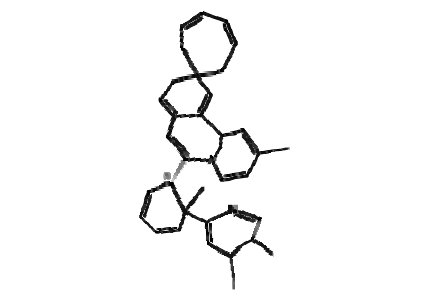 CC1=CC2C3=CC4(CC=CC=CC4)CC=C3C=C([C@H]3C=CC=CC3(C)C3=CC(C)C(C)C=N3)N2C=C1